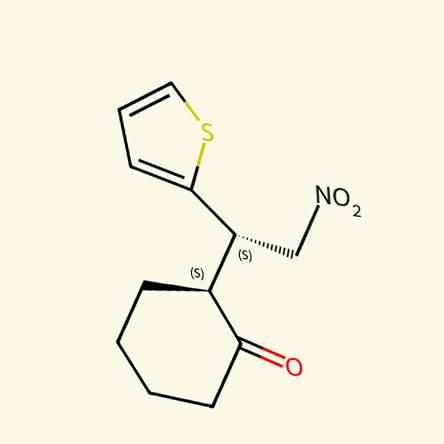 O=C1CCCC[C@H]1[C@@H](C[N+](=O)[O-])c1cccs1